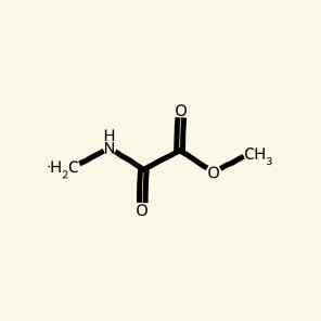 [CH2]NC(=O)C(=O)OC